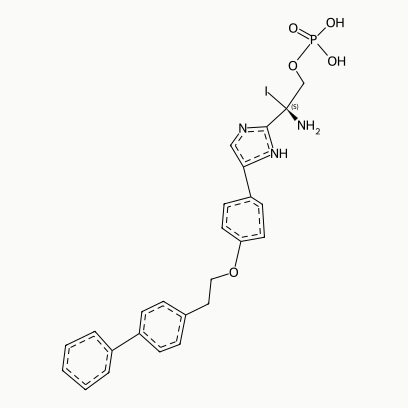 N[C@@](I)(COP(=O)(O)O)c1ncc(-c2ccc(OCCc3ccc(-c4ccccc4)cc3)cc2)[nH]1